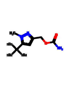 CCC[CH2][Sn]([CH2]CCC)([CH2]CCC)[c]1cc(COC(N)=O)nn1C